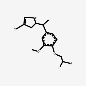 COc1cc(C(C)C2CC(Cl)=CN2)ccc1OCC(F)F